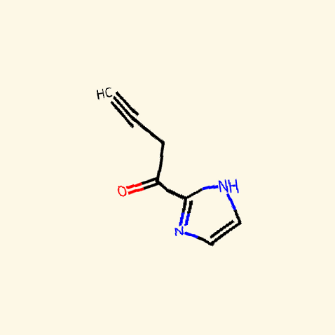 C#CCC(=O)c1ncc[nH]1